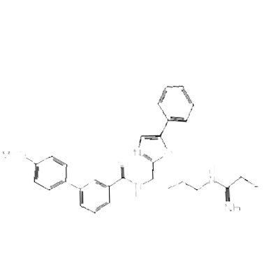 COc1ccc(-c2cccc(C(=O)N[C@@H](CCCNC(=N)CF)c3ncc(-c4ccccc4)o3)c2)cc1